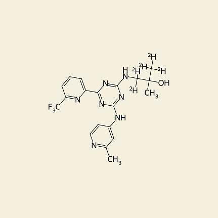 [2H]C([2H])([2H])C(C)(O)C([2H])([2H])Nc1nc(Nc2ccnc(C)c2)nc(-c2cccc(C(F)(F)F)n2)n1